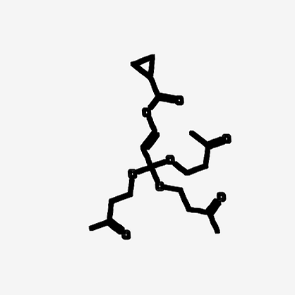 CC(=O)CCOC(C=COC(=O)C1CC1)(OCCC(C)=O)OCCC(C)=O